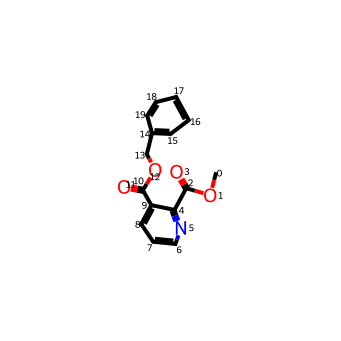 COC(=O)c1ncccc1C(=O)OCc1ccccc1